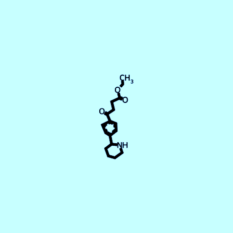 CCOC(=O)CCC(=O)c1ccc(C2CCCCN2)cc1